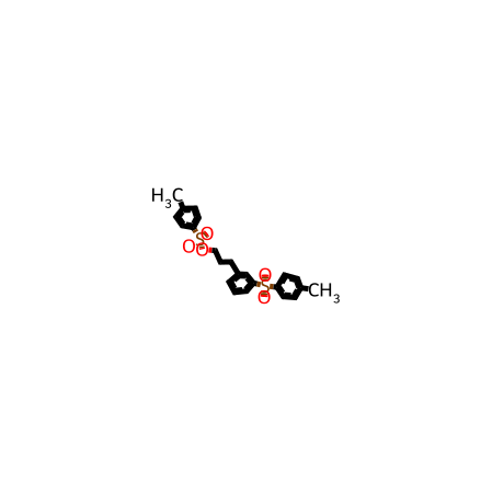 Cc1ccc(S(=O)(=O)OCCCc2cccc(S(=O)(=O)c3ccc(C)cc3)c2)cc1